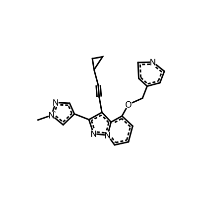 Cn1cc(-c2nn3cccc(OCc4ccncc4)c3c2C#CC2CC2)cn1